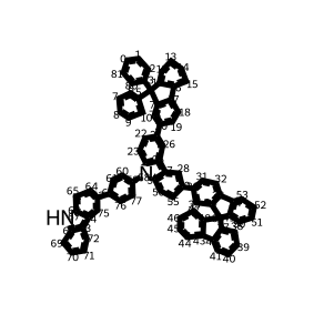 c1ccc(C2(c3ccccc3)c3ccccc3-c3ccc(-c4ccc5c(c4)c4cc(-c6ccc7c(c6)C6(c8ccccc8-c8ccccc86)c6ccccc6-7)ccc4n5-c4ccc(-c5ccc6[nH]c7ccccc7c6c5)cc4)cc32)cc1